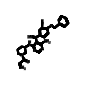 C=CC(=O)N1CCCC(Nc2ncnc(N)c2C(=N)c2ccc(OCc3ccccc3)c(F)c2)C1